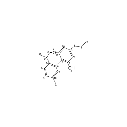 CCCc1cc(O)c(-c2cc(C)ccc2C(C)C)c(O)c1